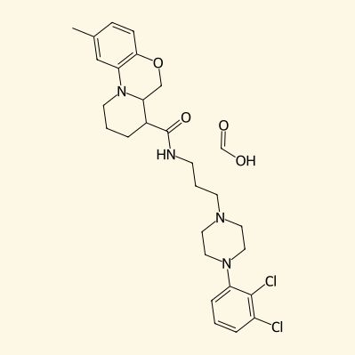 Cc1ccc2c(c1)N1CCCC(C(=O)NCCCN3CCN(c4cccc(Cl)c4Cl)CC3)C1CO2.O=CO